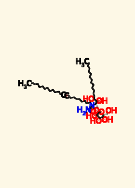 CCCCCCCCCCCCCCCCCCCCCCCCN(C(N)=O)[C@@H](CO[C@@H]1O[C@H](CO)[C@H](O)[C@H](O)[C@H]1O)[C@H](O)[C@H](O)CCCCCCCCCCCCCC